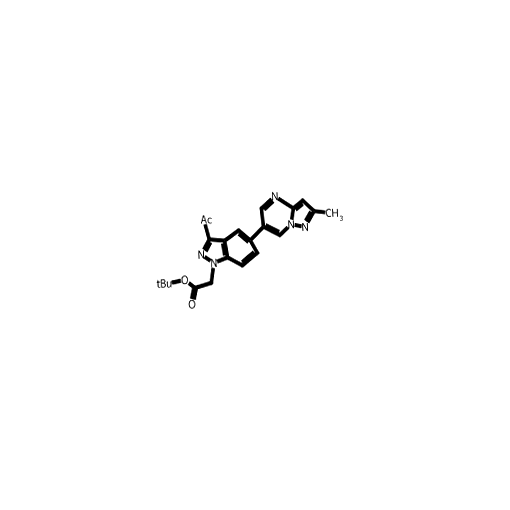 CC(=O)c1nn(CC(=O)OC(C)(C)C)c2ccc(-c3cnc4cc(C)nn4c3)cc12